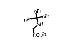 CCCC(CCC)(CCC)NCC(=O)OCC